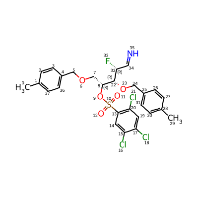 Cc1ccc(COC[C@@H](OS(=O)(=O)c2cc(Cl)c(Cl)cc2Cl)[C@@H](OCc2ccc(C)cc2)[C@H](F)C=N)cc1